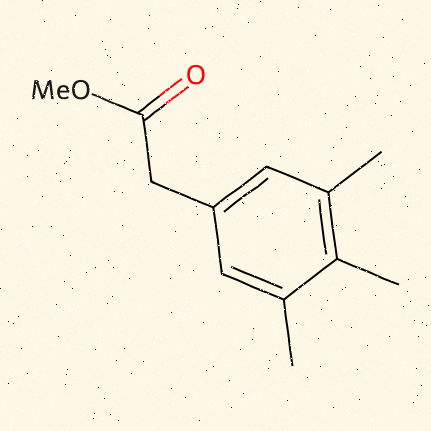 COC(=O)Cc1cc(C)c(C)c(C)c1